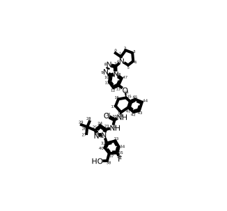 CC1CCCCN1c1nnc2ccc(O[C@@H]3CC[C@H](NC(=O)Nc4cc(C(C)(C)C)nn4-c4ccc(F)c(CO)c4)c4ccccc43)cn12